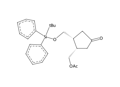 CC(=O)OC[C@H]1CC(=O)C[C@H]1CO[Si](c1ccccc1)(c1ccccc1)C(C)(C)C